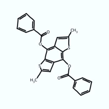 Cc1cc2c(OC(=O)c3ccccc3)c3sc(C)cc3c(OC(=O)c3ccccc3)c2s1